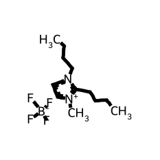 CCCCc1n(CCCC)cc[n+]1C.F[B-](F)(F)F